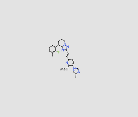 COc1nc(C=Cc2nc3n(n2)CCCC3c2cccc(C)c2F)ccc1-n1cnc(C)c1